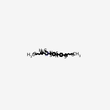 C=C/C=C(\C=C/Cc1cc(CCCOC)cs1)c1nc2cc3sc(-c4ccc(-c5cc(CCCOC)cs5)cc4)nc3cc2s1